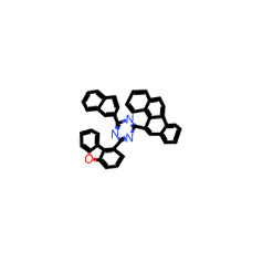 c1ccc2cc(-c3nc(-c4cccc5oc6ccccc6c45)nc(-c4cc5ccccc5c5ccc6ccccc6c45)n3)ccc2c1